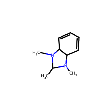 CC1N(C)C2C=CC=CC2N1C